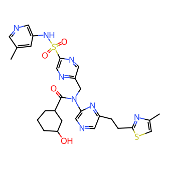 Cc1cncc(NS(=O)(=O)c2cnc(CN(C(=O)C3CCCC(O)C3)c3cncc(CCc4nc(C)cs4)n3)cn2)c1